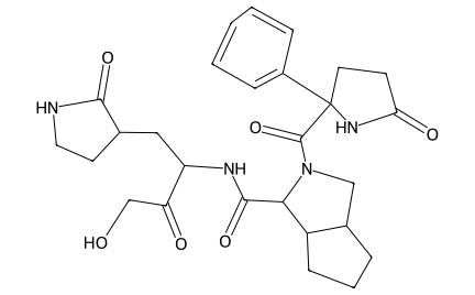 O=C1CCC(C(=O)N2CC3CCCC3C2C(=O)NC(CC2CCNC2=O)C(=O)CO)(c2ccccc2)N1